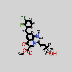 CCOC(=O)c1cn(CCCC(C)(C)[Si](C)(C)O)c2c(N(C)C)cc(Cc3cccc(Cl)c3F)cc2c1=O